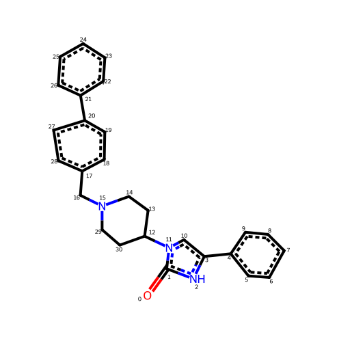 O=c1[nH]c(-c2ccccc2)cn1C1CCN(Cc2ccc(-c3[c]cccc3)cc2)CC1